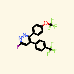 FC(F)(F)Oc1ccc(-c2nnc(I)cc2-c2ccc(C(F)(F)F)cc2)cc1